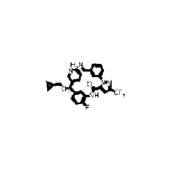 NCc1cccc(-n2nc(C(F)(F)F)cc2C(=O)Nc2cc([C@@H](OCC3CC3)c3cccnc3)ccc2F)c1